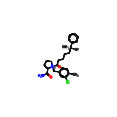 Cc1ccc(C[N@+]2(C(=O)CCCC[C@@](C#N)(c3ccccc3)C(C)C)CCCC2C(N)=O)cc1Cl